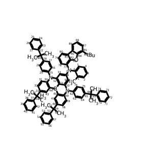 Cc1ccccc1N(c1cc2c3c(c1)N(c1ccc(C(C)(C)c4ccccc4)cc1)c1ccc(C(C)(C)c4ccccc4)cc1B3c1cc(C(C)(C)c3ccccc3)ccc1N2c1ccc(C(C)(C)c2ccccc2)cc1)c1cccc2c1oc1c(C(C)(C)C)cccc12